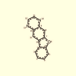 c1ccc2c(c1)oc1cc3nccnc3cc12